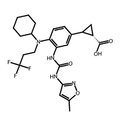 Cc1cc(NC(=O)Nc2cc(C3C[C@@H]3C(=O)O)ccc2N(CCC(F)(F)F)C2CCCCC2)no1